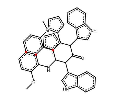 COc1ccccc1NC(c1ccco1)C(C(=O)C(c1c[nH]c2ccccc12)C(Nc1ccccc1OC)c1ccco1)c1c[nH]c2ccccc12